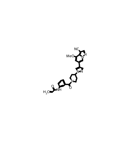 C=CC(=O)Nc1cccc(C(=O)N2CCC(n3cc(-c4cc(OC)c5c(C#N)cnn5c4)cn3)CC2)c1